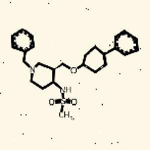 CS(=O)(=O)NC1CCN(Cc2ccccc2)C[C@H]1COC1CCC(c2ccccc2)CC1